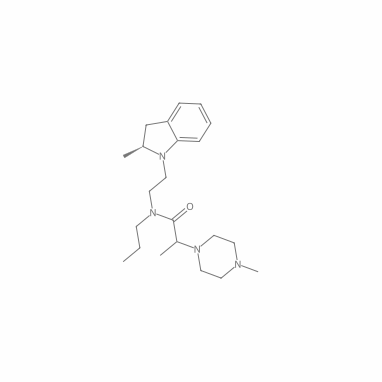 CCCN(CCN1c2ccccc2C[C@@H]1C)C(=O)C(C)N1CCN(C)CC1